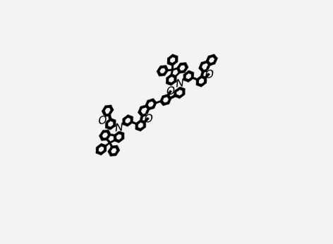 c1ccc(C2(c3ccccc3)c3ccccc3-c3c(N(c4cccc(-c5cccc6oc7c8cc(-c9ccc%10c(c9)oc9c(N(c%11cccc(-c%12cccc%13oc%14c%15ccccc%15ccc%14c%12%13)c%11)c%11cccc%12c%11-c%11ccccc%11C%12(c%11ccccc%11)c%11ccccc%11)cccc9%10)ccc8ccc7c56)c4)c4ccc5oc6ccccc6c5c4)cccc32)cc1